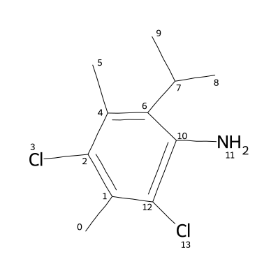 Cc1c(Cl)c(C)c(C(C)C)c(N)c1Cl